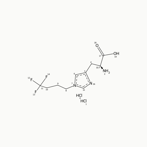 Cl.Cl.N[C@@H](Cc1cn(CCCC(F)(F)F)cn1)C(=O)O